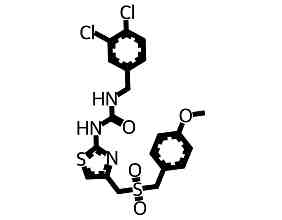 COc1ccc(CS(=O)(=O)Cc2csc(NC(=O)NCc3ccc(Cl)c(Cl)c3)n2)cc1